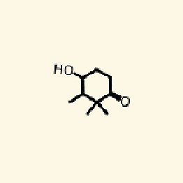 CC1C(O)CCC(=O)C1(C)C